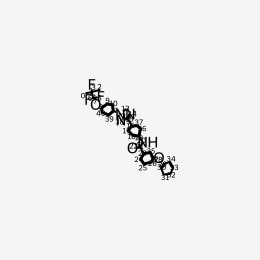 CC(C)(F)C(F)(F)Oc1ccc(-n2cnc(-c3ccc(NC(=O)c4cccc(OC5=CCCC=C5)c4)cc3)n2)cc1